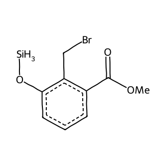 COC(=O)c1cccc(O[SiH3])c1CBr